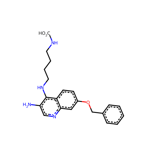 Nc1cnc2cc(OCc3ccccc3)ccc2c1NCCCCNC(=O)O